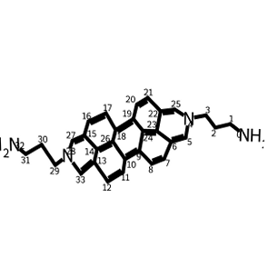 NCCCN1C=c2ccc3c4ccc5c6c(ccc(c7ccc(c2c37)=C1)c64)=CN(CCCN)C=5